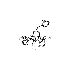 CN1C(c2nccs2)C2(C(=O)O)CN(Cc3ccccn3)CC(C(=O)O)(C2=O)C1c1nccs1